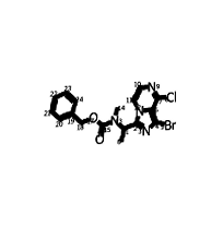 CC(c1nc(Br)c2c(Cl)nccn12)N(C)C(=O)OCc1ccccc1